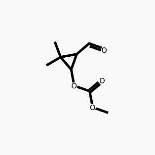 COC(=O)OC1C(C=O)C1(C)C